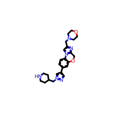 c1cc2c(cc1-c1cnn(CC3CCNCC3)c1)OCc1nc(CN3CCOCC3)cn1-2